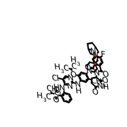 Cc1cc(Nc2ncc(Cl)c(Nc3ccccc3S(=O)(=O)C(C)C)n2)c(OC(C)C)cc1N1CCC(CN2CC3CCC(C2)N3c2cc3c(cc2F)C(=O)N(C2CCC(=O)NC2=O)C3=O)CC1